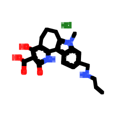 CCCNCc1ccc2c3c(n(C)c2c1)CCCc1c-3[nH]c(=O)c(C(=O)O)c1O.Cl